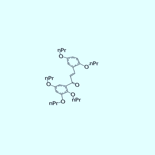 CCCOc1ccc(OCCC)c(/C=C/C(=O)c2cc(OCCC)cc(OCCC)c2OCCC)c1